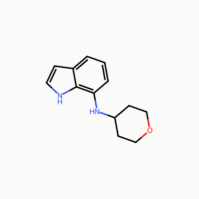 c1cc(NC2CCOCC2)c2[nH]ccc2c1